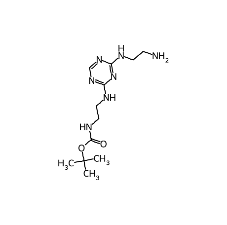 CC(C)(C)OC(=O)NCCNc1ncnc(NCCN)n1